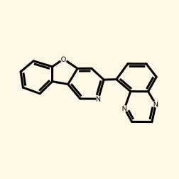 c1cc(-c2cc3oc4ccccc4c3cn2)c2nccnc2c1